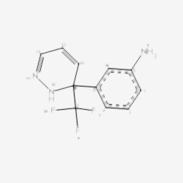 Nc1cccc(C2(C(F)(F)F)C=CC=NN2)c1